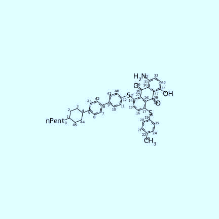 CCCCCC1CCC(c2ccc(-c3ccc(Sc4ccc(Sc5ccc(C)cc5)c5c4C(=O)c4c(N)ccc(O)c4C5=O)cc3)cc2)CC1